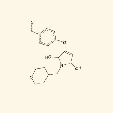 O=Cc1ccc(OC2=CC(O)N(CC3CCOCC3)C2O)cc1